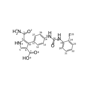 NC(=O)c1[nH]cc(C(=O)O)c1-c1ccc(NC(=O)Nc2ccccc2F)cc1